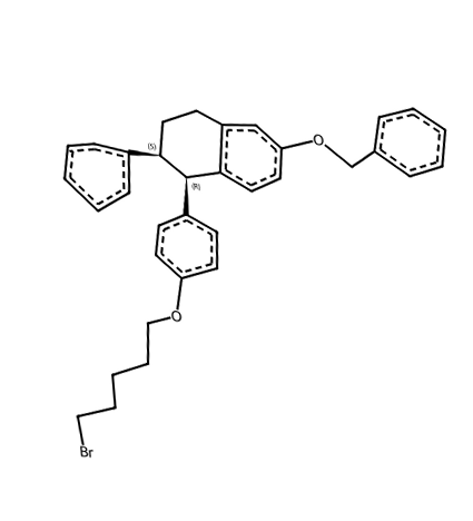 BrCCCCCOc1ccc([C@@H]2c3ccc(OCc4ccccc4)cc3CC[C@@H]2c2ccccc2)cc1